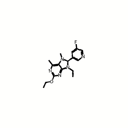 CCOc1nc(C)c2c(n1)N(CC)C(c1cncc(F)c1)N2C